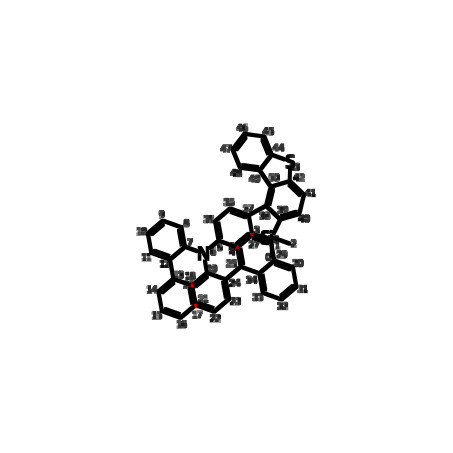 C[Si]1(C)c2cc(N(c3ccccc3-c3ccccc3)c3ccccc3-c3cccc4ccccc34)ccc2-c2c1ccc1sc3ccccc3c21